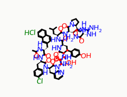 CC(=O)N[C@H](Cc1ccc2ccccc2c1)C(=O)N[C@H](Cc1ccc(Cl)cc1)C(=O)N[C@H](Cc1cccnc1)C(=O)N[C@@H](CO)C(=O)N[C@@H](Cc1ccc(O)cc1)C(=O)N[C@H](CCCNC(N)=O)C(=O)N[C@@H](CC(C)C)C(=O)N[C@@H](CCCNC(=N)N)C(=O)N1CCC[C@H]1C(=O)N[C@H](C)C(N)=O.Cl